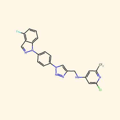 Fc1cccc2c1cnn2-c1ccc(-n2cc(CNc3cc(Cl)nc(C(F)(F)F)c3)nn2)cc1